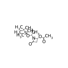 CC(=O)OC1CC(=O)N1C(C)O[Si](C)(C)C(C)(C)C